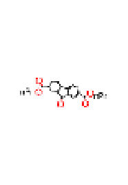 CCCOC(=O)c1ccc2c(c1)C(=O)c1cc(C(=O)OCCC)ccc1-2